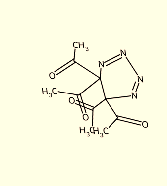 CC(=O)C1(C(C)=O)N=NN=NC1(C(C)=O)C(C)=O